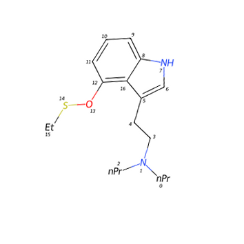 CCCN(CCC)CCc1c[nH]c2cccc(OSCC)c12